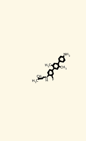 CC(C)=CCNc1ccc(-c2cc(C)c(-c3ccc(N)cc3)cc2C)cc1F